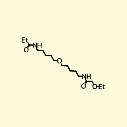 CCOCC(=O)NCCCCCOCCCCCNC(=O)CC